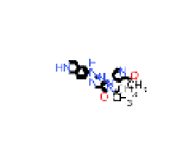 CC(=O)c1cc(-n2c3nc(Nc4ccc5c(c4)CCNC5)ncc3c(=O)n2C(C)C)ccn1